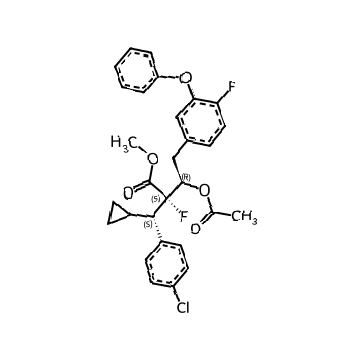 COC(=O)[C@](F)([C@H](c1ccc(Cl)cc1)C1CC1)[C@@H](Cc1ccc(F)c(Oc2ccccc2)c1)OC(C)=O